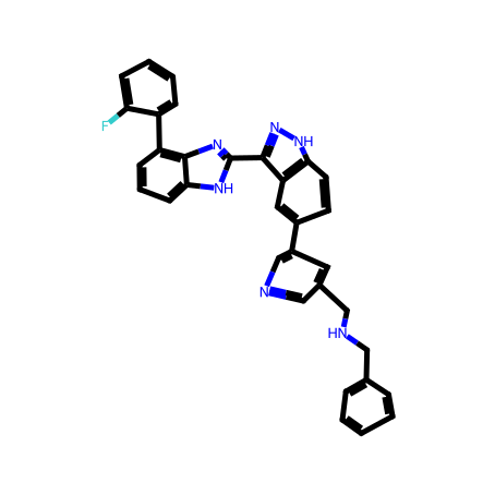 Fc1ccccc1-c1cccc2[nH]c(-c3n[nH]c4ccc(-c5cncc(CNCc6ccccc6)c5)cc34)nc12